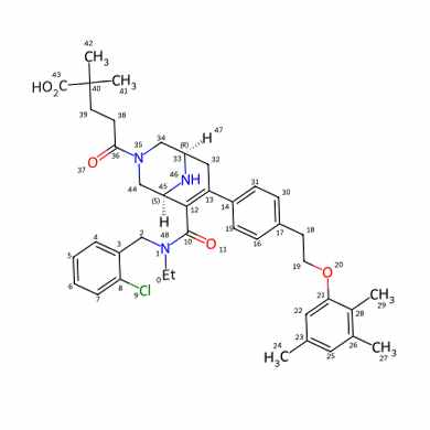 CCN(Cc1ccccc1Cl)C(=O)C1=C(c2ccc(CCOc3cc(C)cc(C)c3C)cc2)C[C@@H]2CN(C(=O)CCC(C)(C)C(=O)O)C[C@H]1N2